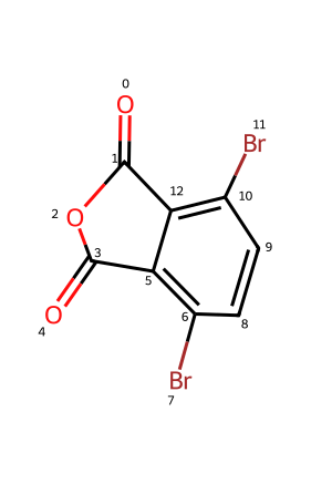 O=C1OC(=O)c2c(Br)ccc(Br)c21